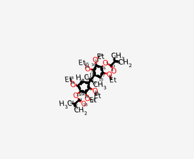 C=C(C)C(=O)Oc1c(OCC)cc(C(C)(C)c2cc(OCC)c(OC(=O)C(=C)C)c(OCC)c2OCC)c(OCC)c1OCC